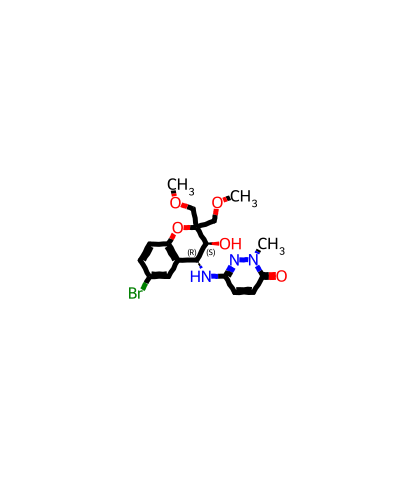 COCC1(COC)Oc2ccc(Br)cc2[C@@H](Nc2ccc(=O)n(C)n2)[C@@H]1O